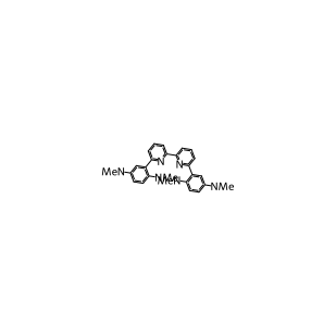 CNc1ccc(NC)c(-c2cccc(-c3cccc(-c4cc(NC)ccc4NC)n3)n2)c1